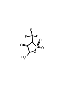 CC1OS(=O)(=O)C(C(F)(F)F)C1=O